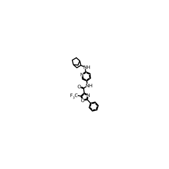 O=C(Nc1ccc(NC2CC3CCC2C3)nc1)c1nc(-c2ccccc2)oc1C(F)(F)F